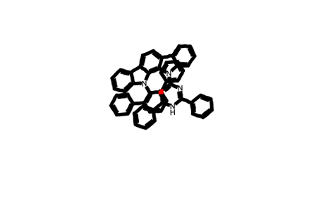 c1ccc(C2=NC(n3c4ccccc4c4ccc5c6ccccc6n(-c6c(-c7ccccc7)cccc6-c6ccccc6)c5c43)=NC(c3ccccc3)N2)cc1